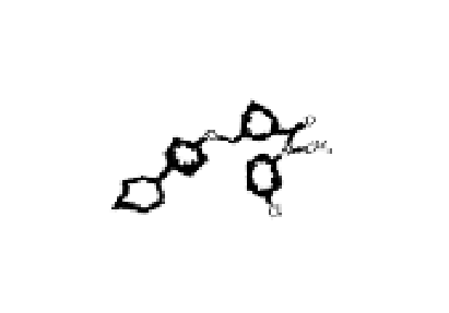 CN(C(=O)c1cccc(COc2ccc(C3[CH]CCCC3)cc2)c1)c1cccc(Cl)c1